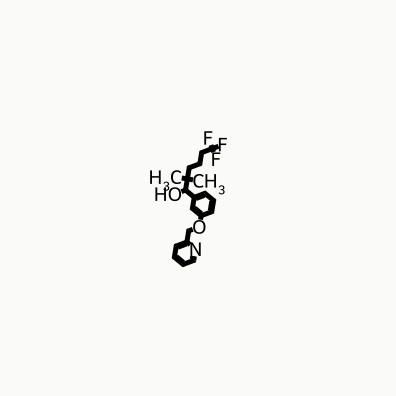 CC(C)(CCCC(F)(F)F)C(O)c1cccc(OCc2ccccn2)c1